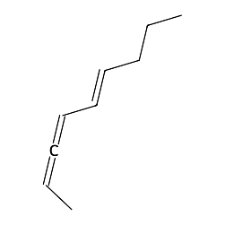 CC=C=CC=CCCC